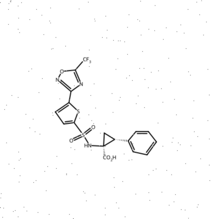 O=C(O)[C@]1(NS(=O)(=O)c2ccc(-c3noc(C(F)(F)F)n3)s2)C[C@@H]1c1ccccc1